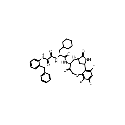 O=C(Nc1ccccc1Cc1ccccc1)C(=O)N[C@@H](CC1CCCCC1)C(=O)N[C@H]1C[C@@H]2CC(NC2=O)c2c(F)cc(F)c(F)c2OCC1=O